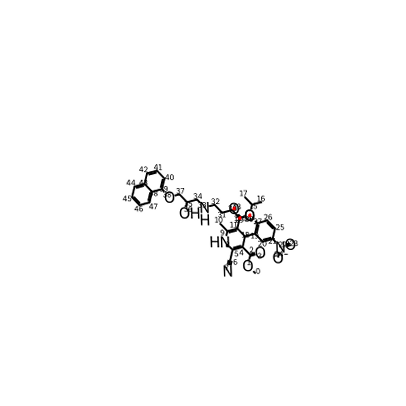 COC(=O)C1=C(C#N)NC(C)=C(C(=O)OC(C)C)C1c1cc([N+](=O)[O-])ccc1OCCCCNCC(O)COc1cccc2ccccc12